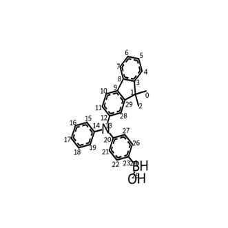 CC1(C)c2ccccc2-c2ccc(N(c3ccccc3)c3ccc(BO)cc3)cc21